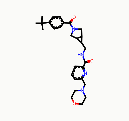 CC(C)(C)c1ccc(C(=O)N2CC3C(CNC(=O)c4[c]ccc(CN5CCOCC5)n4)C3C2)cc1